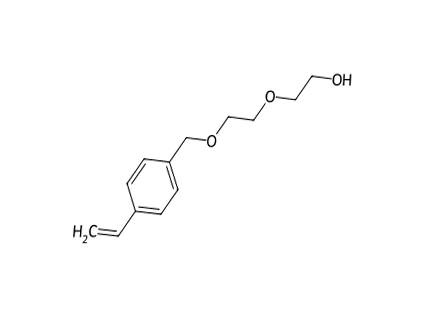 C=Cc1ccc(COCCOCCO)cc1